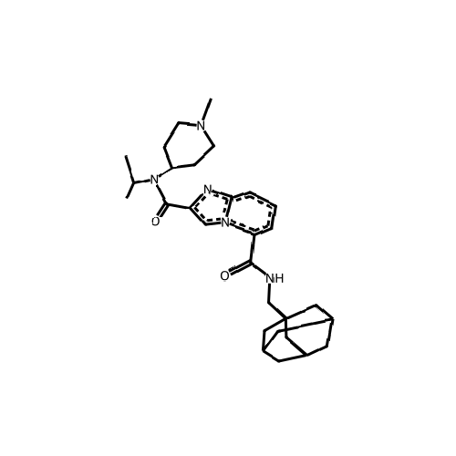 CC(C)N(C(=O)c1cn2c(C(=O)NCC34CC5CC(CC(C5)C3)C4)cccc2n1)C1CCN(C)CC1